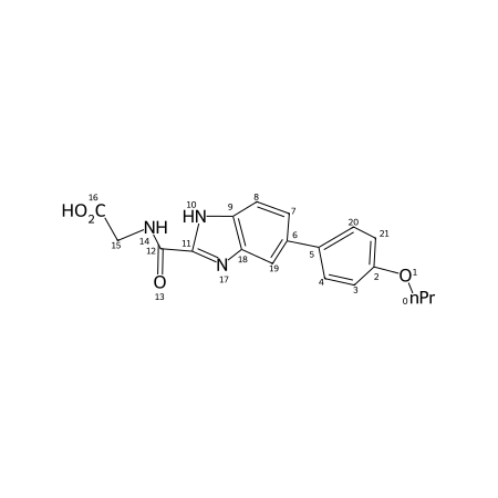 CCCOc1ccc(-c2ccc3[nH]c(C(=O)NCC(=O)O)nc3c2)cc1